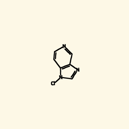 Cln1cnc2cnccc21